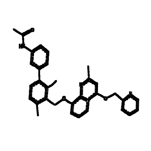 CC(=O)Nc1cccc(-c2ccc(C)c(COc3cccc4c(OCc5ccccn5)cc(C)nc34)c2C)c1